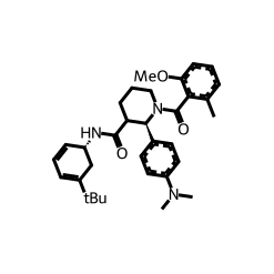 COc1cccc(C)c1C(=O)N1CCCC(C(=O)N[C@H]2C=CC=C(C(C)(C)C)C2)[C@@H]1c1ccc(N(C)C)cc1